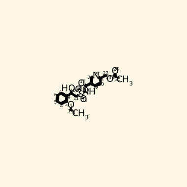 CCOc1ccccc1C(O)CS(=O)(=O)NC(=O)c1ccc(COC(C)=O)nc1